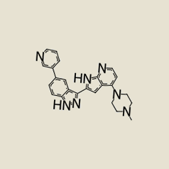 CN1CCN(c2ccnc3[nH]c(-c4n[nH]c5ccc(-c6cccnc6)cc45)cc23)CC1